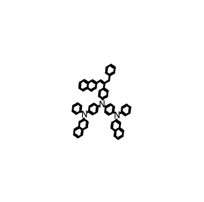 C(=C(\Cc1ccccc1)c1ccc(N(c2ccc(N(c3ccccc3)c3ccc4ccccc4c3)cc2)c2ccc(N(c3ccccc3)c3ccc4ccccc4c3)cc2)cc1)/c1ccc2ccccc2c1